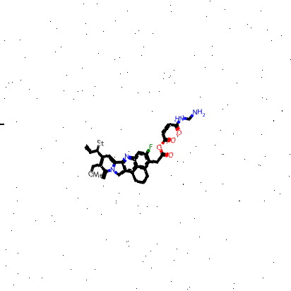 C=CC(CC)C1=C(COC)C(=C)N2Cc3c(nc4cc(F)c(CC(=O)OC(=O)/C=C\C(=O)NCN)c5c4c3CCC5)C2=C1